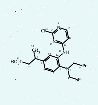 CC(C)CN(CC(C)C)c1ccc(C(C)CC(=O)O)cc1Nc1ccnc(Cl)n1